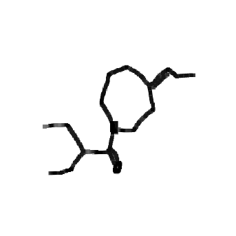 CC=C1CCCN(C(=O)C(CC)CC)CC1